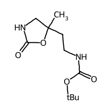 CC(C)(C)OC(=O)NCCC1(C)CNC(=O)O1